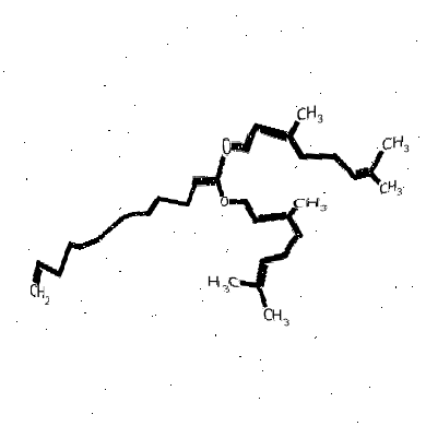 C=CCCCCCCCCC(OCC=C(C)CCC=C(C)C)OCC=C(C)CCC=C(C)C